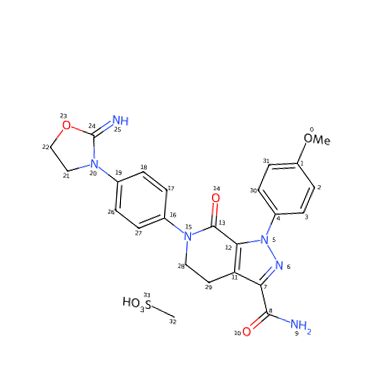 COc1ccc(-n2nc(C(N)=O)c3c2C(=O)N(c2ccc(N4CCOC4=N)cc2)CC3)cc1.CS(=O)(=O)O